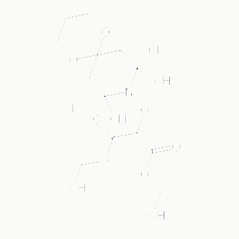 CCOC(=O)C(ON1C(C)(C)CC2(CC1(C)C)OCCCO2)C(=O)OCC